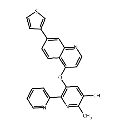 Cc1cc(Oc2ccnc3cc(-c4ccsc4)ccc23)c(-c2ccccn2)nc1C